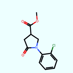 COC(=O)C1CC(=O)N(c2ccccc2Cl)C1